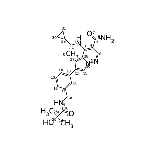 C[C@@H](Nc1c(C(N)=O)cnn2cc(-c3cccc(CNC(=O)C(C)(C)O)c3)cc12)C1CC1